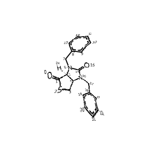 O=C1SCC2[C@@H]1N(Cc1ccccc1)C(=O)N2Cc1ccccc1